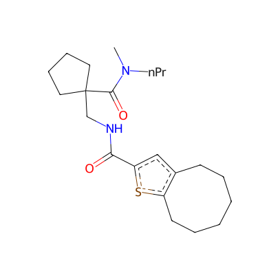 CCCN(C)C(=O)C1(CNC(=O)c2cc3c(s2)CCCCCC3)CCCC1